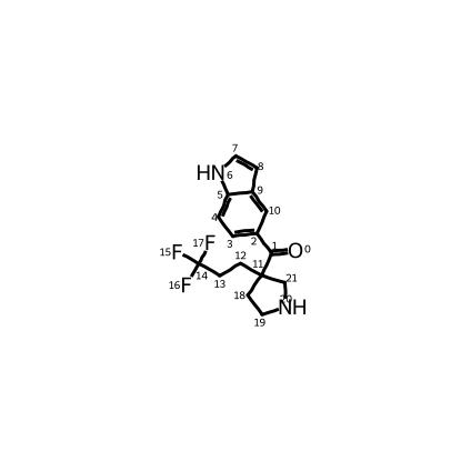 O=C(c1ccc2[nH]ccc2c1)C1(CCC(F)(F)F)CCNC1